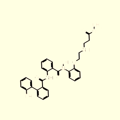 COC(=O)CCNCCOc1ccccc1N(C)C(=O)c1ccccc1NC(=O)c1ccccc1-c1ccccc1C